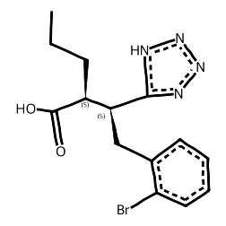 CCC[C@H](C(=O)O)[C@H](Cc1ccccc1Br)c1nnn[nH]1